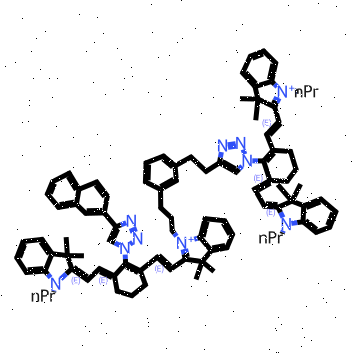 CCCN1/C(=C/C=C2\CCCC(/C=C/C3=[N+](CCC)c4ccccc4C3(C)C)=C2n2cc(CCc3cccc(CCC[N+]4=C(/C=C/C5=C(n6cc(-c7ccc8ccccc8c7)nn6)C(=C/C=C6/N(CCC)c7ccccc7C6(C)C)/CCC5)C(C)(C)c5ccccc54)c3)nn2)C(C)(C)c2ccccc21